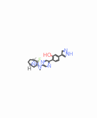 CN(c1cnc(-c2ccc(-c3cn[nH]c3)cc2O)cn1)[C@@H]1C[C@H]2CC[C@](C)(N2)[C@@H]1F